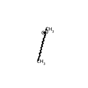 CCCCC/C=C/CCCC=CC=C/C=C/CC=CC(=O)OCC